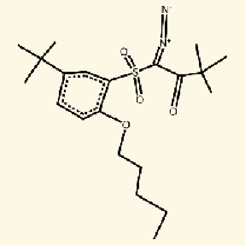 CCCCCOc1ccc(C(C)(C)C)cc1S(=O)(=O)C(=[N+]=[N-])C(=O)C(C)(C)C